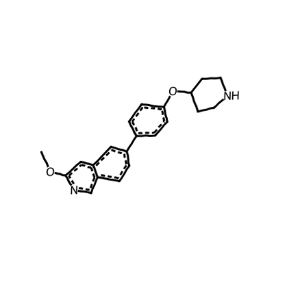 COc1cc2cc(-c3ccc(OC4CCNCC4)cc3)ccc2cn1